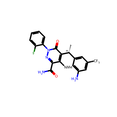 CNc1c(C(N)=O)nn(-c2ccccc2F)c(=O)c1[C@H](C)c1cc(N)cc(C(F)(F)F)c1